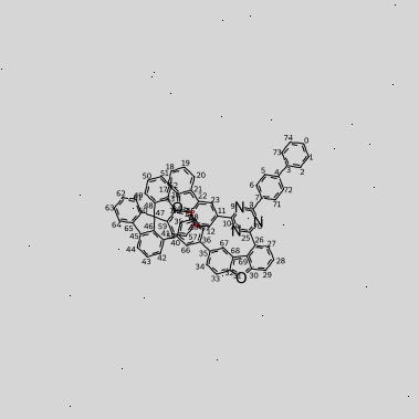 c1ccc(-c2ccc(-c3nc(-c4ccc5oc6ccccc6c5c4)nc(-c4cccc5oc6ccc(-c7cccc(-c8cccc9c8C8(c%10ccccc%10-c%10ccccc%108)c8ccccc8-9)c7)cc6c45)n3)cc2)cc1